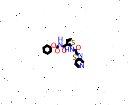 O=C(NC(=O)c1ccsc1NC(=O)c1nc2cnccc2s1)OC1CCCCC1